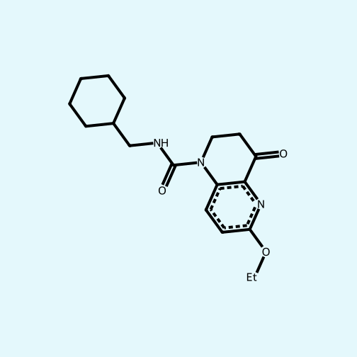 CCOc1ccc2c(n1)C(=O)CCN2C(=O)NCC1CCCCC1